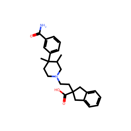 CC1CN(CCC2(C(=O)O)Cc3ccccc3C2)CCC1(C)c1cccc(C(N)=O)c1